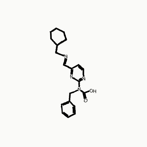 O=C(O)N(Cc1ccccc1)c1nccc(C=NCC2CCCCC2)n1